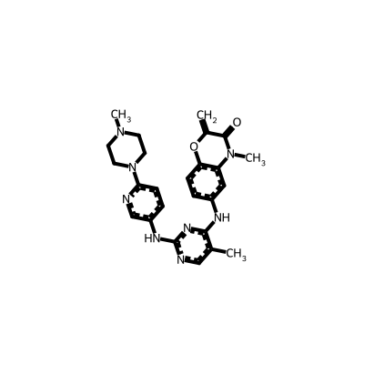 C=C1Oc2ccc(Nc3nc(Nc4ccc(N5CCN(C)CC5)nc4)ncc3C)cc2N(C)C1=O